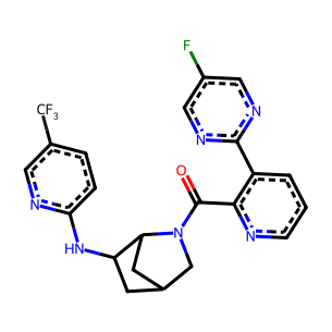 O=C(c1ncccc1-c1ncc(F)cn1)N1CC2CC(Nc3ccc(C(F)(F)F)cn3)C1C2